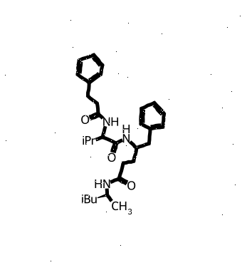 CC[C@H](C)C(C)NC(=O)CCC(Cc1ccccc1)NC(=O)C(NC(=O)CCc1ccccc1)C(C)C